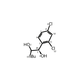 CCCCC(O)[C@H](O)c1ccc(Cl)cc1Cl